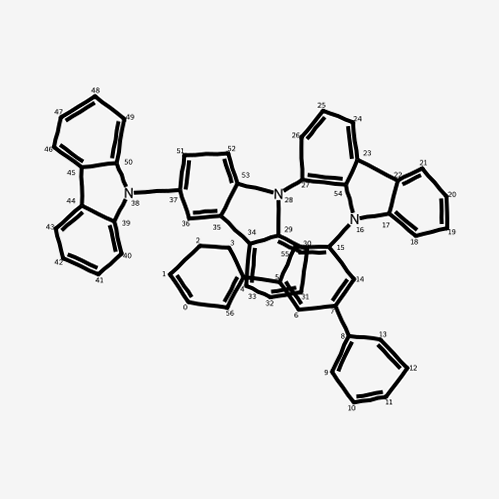 C1=CCCC(c2cc(-c3ccccc3)cc(-n3c4ccccc4c4cccc(-n5c6ccccc6c6cc(-n7c8ccccc8c8ccccc87)ccc65)c43)c2)=C1